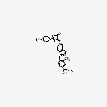 C=C(C)c1ccc(Cn2ncc3cc(/C=C4\SC(N5CCN(C)CC5)=NC4=O)ccc32)c(C(F)(F)F)c1